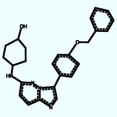 OC1CCC(Nc2ccc3ncc(-c4ccc(OCc5ccccc5)cc4)n3n2)CC1